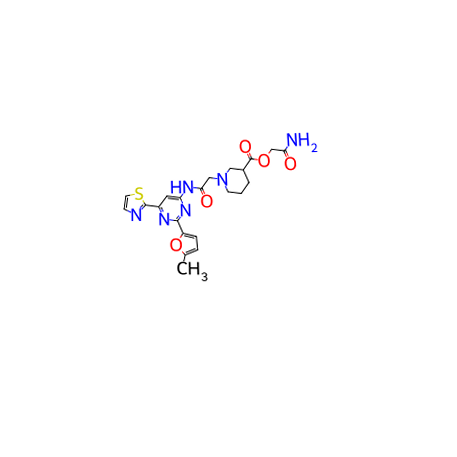 Cc1ccc(-c2nc(NC(=O)CN3CCCC(C(=O)OCC(N)=O)C3)cc(-c3nccs3)n2)o1